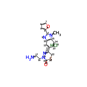 Cl.Cn1c(-c2ccco2)nc2cc(C3=NN(CCN)C(=O)SC3)ccc21